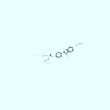 CCn1c(-c2ccc(NC(=O)N(CCOC)CCOC)cc2)c(C#N)c2ccc(OCCCCl)cc21